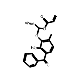 C=CC(=O)OC(CCCCC)Oc1c(C)ccc(C(=O)c2ccccc2)c1O